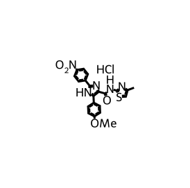 COc1ccc(-c2[nH]c(-c3ccc([N+](=O)[O-])cc3)nc2C(=O)Nc2nc(C)cs2)cc1.Cl